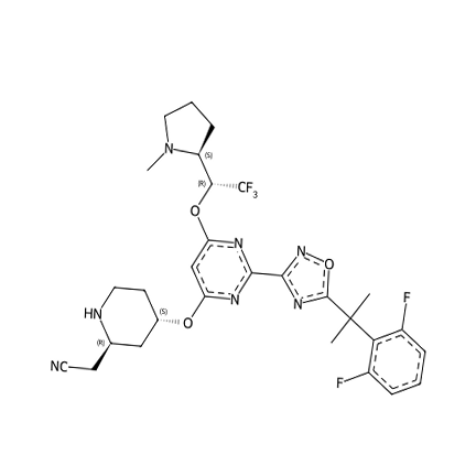 CN1CCC[C@H]1[C@@H](Oc1cc(O[C@H]2CCN[C@H](CC#N)C2)nc(-c2noc(C(C)(C)c3c(F)cccc3F)n2)n1)C(F)(F)F